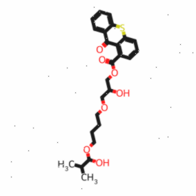 CC(C)C(O)OCCCCOCC(O)COC(=O)c1cccc2sc3ccccc3c(=O)c12